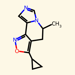 CC1Cc2c(noc2C2CC2)-c2cncn21